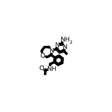 CC(=O)NCc1ccccc1C1COCCCN1c1cc(C)nc(N)n1